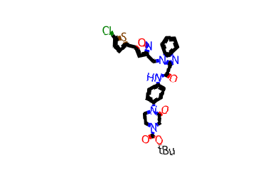 CC(C)(C)OC(=O)N1CCN(c2ccc(NC(=O)c3nc4ccccc4n3Cc3cc(-c4ccc(Cl)s4)on3)cc2)C(=O)C1